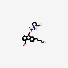 O=CCCCc1ccc2c(c1)C(COC(=O)NN1CCC[C@H]1C=O)c1cccc(C=O)c1-2